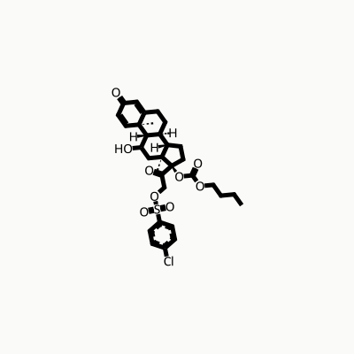 CCCCOC(=O)O[C@]1(C(=O)COS(=O)(=O)c2ccc(Cl)cc2)CC[C@H]2[C@@H]3CCC4=CC(=O)C=C[C@]4(C)[C@H]3C(O)C[C@@]21C